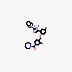 Cc1ccc(OCc2ccc(C(=O)N3CCCCCC3)cc2C)c(-c2csc(N3CC4CCC(C3)C4C(=O)O)n2)c1